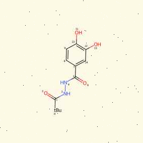 CC(C)(C)C(=O)NNC(=O)c1ccc(O)c(O)c1